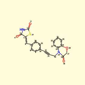 O=C1NC(=O)C(=Cc2ccc(C#CCN3C(=O)COc4ccccc43)cc2)S1